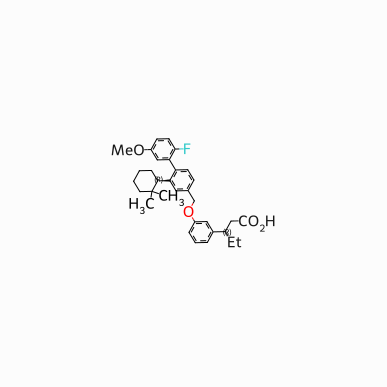 CC[C@H](CC(=O)O)c1cccc(OCc2ccc(-c3cc(OC)ccc3F)c([C@@H]3CCCCC3(C)C)c2)c1